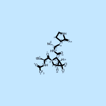 CC(C)(C)[C@H](NC(=O)C(F)(F)F)C(=O)N1C[C@H]2[C@@H]([C@H]1C(=O)N[C@H](C#N)C[C@@H]1CCNC1=S)C2(Cl)Cl